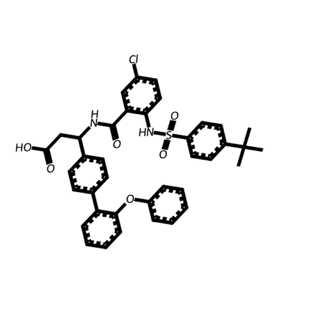 CC(C)(C)c1ccc(S(=O)(=O)Nc2ccc(Cl)cc2C(=O)NC(CC(=O)O)c2ccc(-c3ccccc3Oc3ccccc3)cc2)cc1